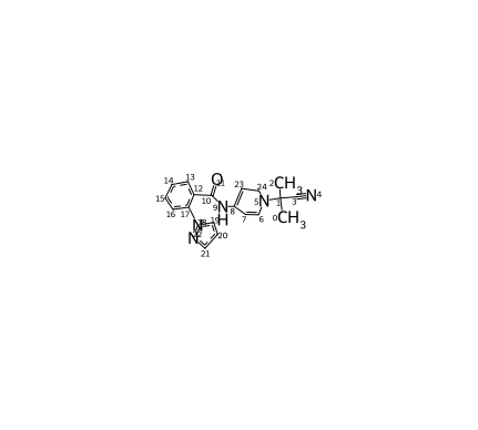 CC(C)(C#N)N1C=CC(NC(=O)c2ccccc2-n2cccn2)=CC1